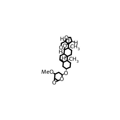 COC1C[C@@H](O[C@H]2CC[C@@]3(C)C(=CC[C@@H]4[C@@H]3CC[C@]3(C)[C@H]5[C@H]6CO[C@@]43O[C@@H]5CO6)C2)OC2OC12